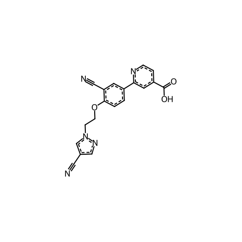 N#Cc1cnn(CCOc2ccc(-c3cc(C(=O)O)ccn3)cc2C#N)c1